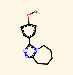 COc1ccc(-c2nnc3n2CCCCC3)cc1